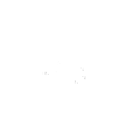 O=c1[nH]c2ccccc2cc1-c1cn(-c2ccc(F)cc2)nn1